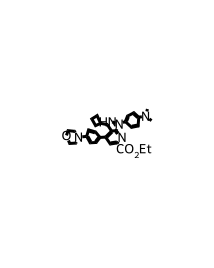 CCOC(=O)c1cc(-c2ccc(N3CCOCC3)cc2)c2c(n1)N(c1ccc(N(C)C)cc1)NC2C1CCC1